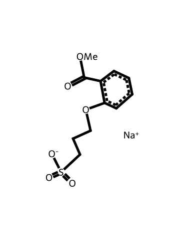 COC(=O)c1ccccc1OCCCS(=O)(=O)[O-].[Na+]